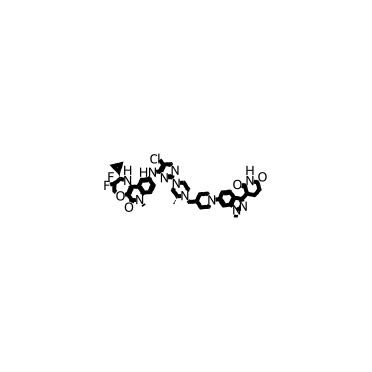 C[C@@H]1CN(c2ncc(Cl)c(Nc3ccc4c(c3)c3c(c(=O)n4C)OCC(F)(F)[C@H](C4CC4)N3)n2)CCN1CC1CCN(c2ccc3c(C4CCC(=O)NC4=O)nn(C)c3c2)CC1